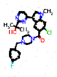 Cn1cc(-c2ccnc(C(C)(C)O)n2)c2cc(C(=O)N3CCN(Cc4ccc(F)cc4)CC3)c(Cl)cc21